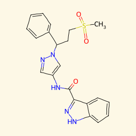 CS(=O)(=O)CCC(c1ccccc1)n1cc(NC(=O)c2n[nH]c3ccccc23)cn1